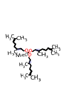 COC(OC/C=C(\C)CCC=C(C)C)(OC/C=C(\C)CCC=C(C)C)OC/C=C(\C)CCC=C(C)C